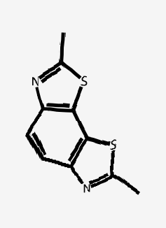 Cc1nc2ccc3nc(C)sc3c2s1